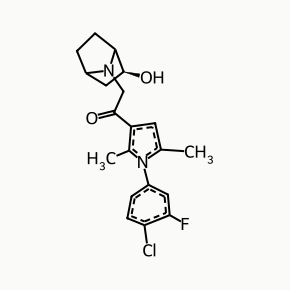 Cc1cc(C(=O)CN2C3CCC2[C@@H](O)C3)c(C)n1-c1ccc(Cl)c(F)c1